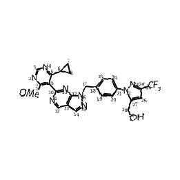 COc1ncnc(C2CC2)c1-c1ncc2cnn(Cc3ccc(-n4nc(C(F)(F)F)cc4CO)cc3)c2n1